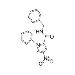 O=C(NCc1ccccc1)c1cc([N+](=O)[O-])cn1-c1ccccc1